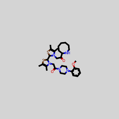 COc1ccccc1N1CCN(C(=O)CN2C(C)=C(C)SC2C2SC(C)=C(C)N2CC(=O)C2CCCCCCN2)CC1